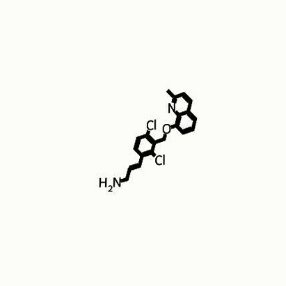 Cc1ccc2cccc(OCc3c(Cl)ccc(C=CCN)c3Cl)c2n1